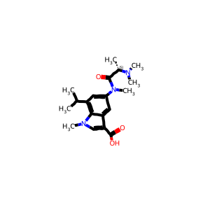 CC(C)c1cc(N(C)C(=O)[C@H](C)N(C)C)cc2c(C(=O)O)cn(C)c12